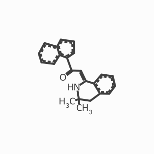 CC1(C)Cc2ccccc2C(=CC(=O)c2cccc3ccccc23)N1